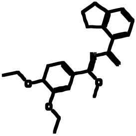 C=C(/N=C(\OC)C1=CCC(OCC)C(OCC)=C1)c1cccc2c1CCC2